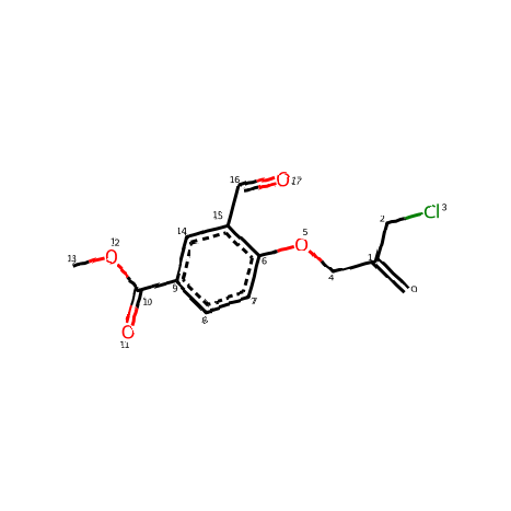 C=C(CCl)COc1ccc(C(=O)OC)cc1C=O